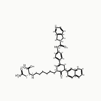 NC(=O)C[C@@H](NCCCCCCN1N=C(c2ccc(NC(=O)N3Cc4ccncc4C3)cc2)CC(c2ccc3cccnc3c2)C1=O)C(=O)O